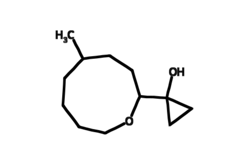 CC1CCCCOC(C2(O)CC2)CC1